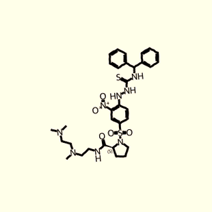 CN(C)CCN(C)CCNC(=O)[C@@H]1CCCN1S(=O)(=O)c1ccc(NNC(=S)NC(c2ccccc2)c2ccccc2)c([N+](=O)[O-])c1